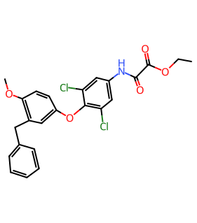 CCOC(=O)C(=O)Nc1cc(Cl)c(Oc2ccc(OC)c(Cc3ccccc3)c2)c(Cl)c1